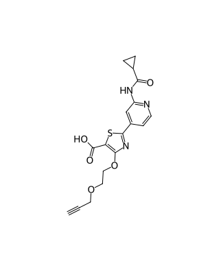 C#CCOCCOc1nc(-c2ccnc(NC(=O)C3CC3)c2)sc1C(=O)O